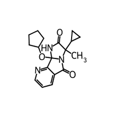 CC1(C2CC2)C(=O)NC2(OC3CCCC3)c3ncccc3C(=O)N21